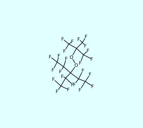 FC(F)(F)C(F)(F)C(OOC(C(F)(F)F)(C(F)(F)F)C(F)(F)F)(C(F)(F)C(F)(F)F)C(F)(F)C(F)(F)F